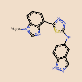 Cn1cnc2c(-c3nnc(Nc4ccc5[nH]ncc5c4)s3)cccc21